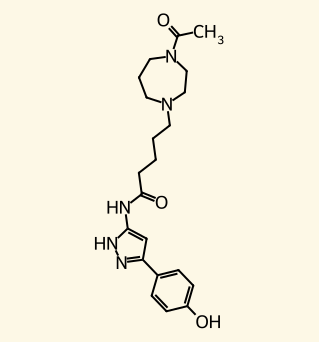 CC(=O)N1CCCN(CCCCC(=O)Nc2cc(-c3ccc(O)cc3)n[nH]2)CC1